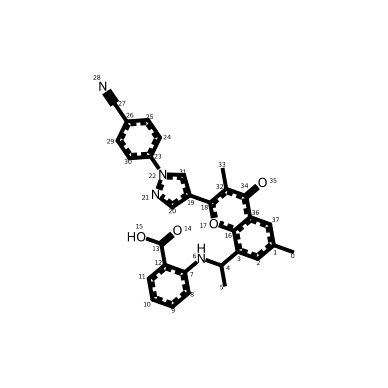 Cc1cc(C(C)Nc2ccccc2C(=O)O)c2oc(-c3cnn(-c4ccc(C#N)cc4)c3)c(C)c(=O)c2c1